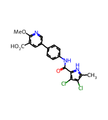 COc1ncc(-c2ccc(NC(=O)c3[nH]c(C)c(Cl)c3Cl)cc2)cc1C(=O)O